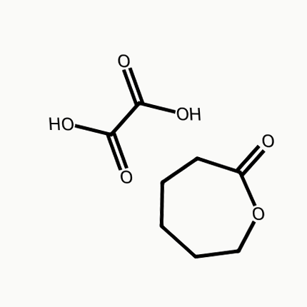 O=C(O)C(=O)O.O=C1CCCCCO1